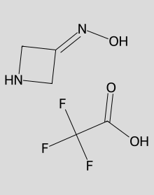 O=C(O)C(F)(F)F.ON=C1CNC1